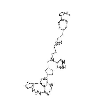 Cc1ccc(CCNCCCN(C[C@@H]2CC[C@H](n3cc(-c4nccs4)c4c(N)ncnc43)C2)c2cn[nH]c2)cc1